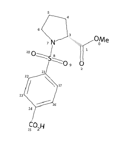 COC(=O)[C@H]1CCCN1S(=O)(=O)c1ccc(C(=O)O)cc1